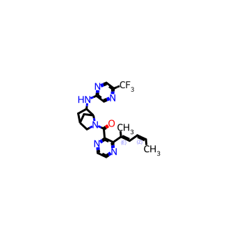 C/C=C\C=C(/C)c1nccnc1C(=O)N1CC2CC(Nc3cnc(C(F)(F)F)cn3)C1C2